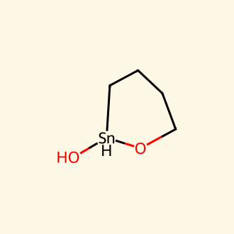 [OH][SnH]1[CH2]CCC[O]1